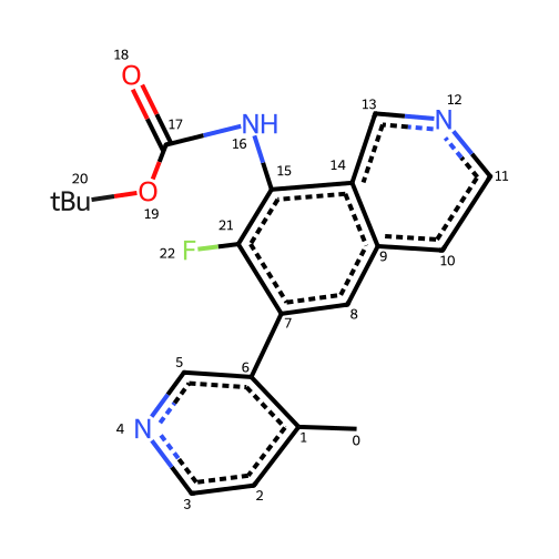 Cc1ccncc1-c1cc2ccncc2c(NC(=O)OC(C)(C)C)c1F